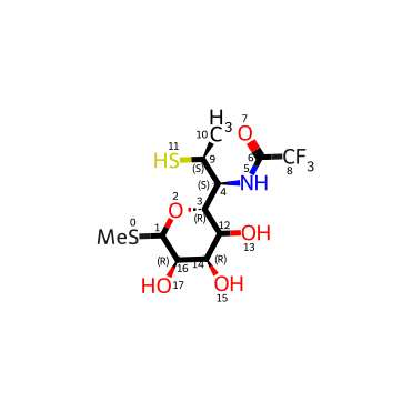 CSC1O[C@H]([C@H](NC(=O)C(F)(F)F)[C@H](C)S)C(O)[C@@H](O)[C@H]1O